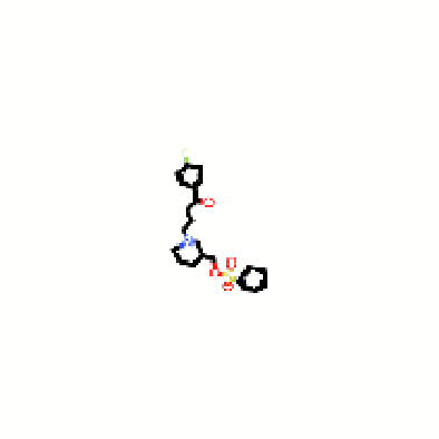 O=C(CCCN1CCCC(COS(=O)(=O)c2ccccc2)C1)c1ccc(F)cc1